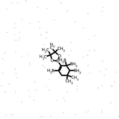 BC1=C(B2OC(C)(C)C(C)(C)O2)C(B)(B)C(B)C(C)(C)C1